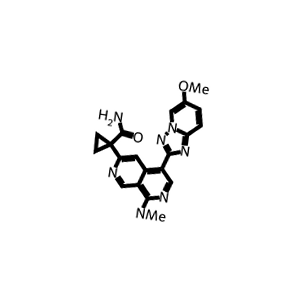 CNc1ncc(-c2nc3ccc(OC)cn3n2)c2cc(C3(C(N)=O)CC3)ncc12